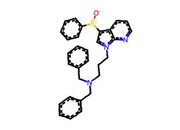 [O-][S+](c1ccccc1)c1cn(CCCN(Cc2ccccc2)Cc2ccccc2)c2ncccc12